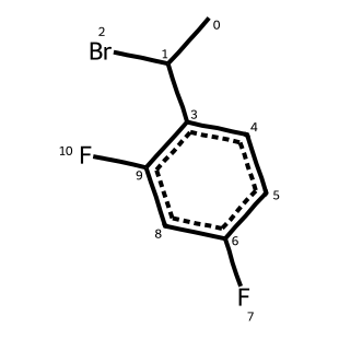 CC(Br)c1ccc(F)cc1F